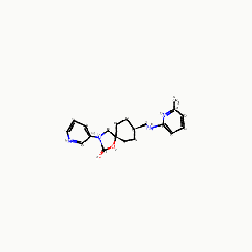 O=C1O[C@]2(CC[C@H](CNc3cccc(C(F)(F)F)n3)CC2)CN1c1cccnc1